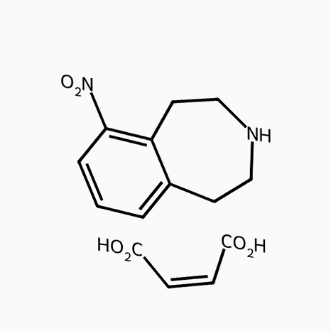 O=C(O)/C=C\C(=O)O.O=[N+]([O-])c1cccc2c1CCNCC2